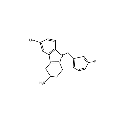 Nc1ccc2c(c1)c1c(n2Cc2cccc(F)c2)CCC(N)C1